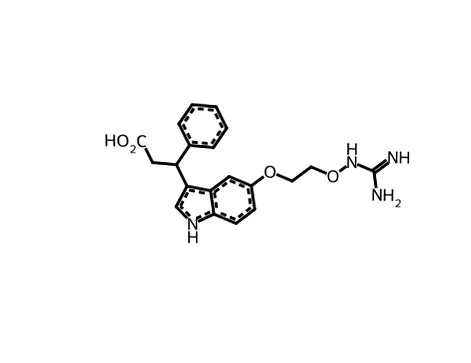 N=C(N)NOCCOc1ccc2[nH]cc(C(CC(=O)O)c3ccccc3)c2c1